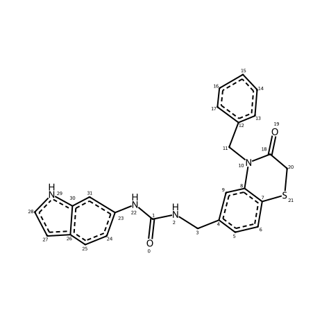 O=C(NCc1ccc2c(c1)N(Cc1ccccc1)C(=O)CS2)Nc1ccc2cc[nH]c2c1